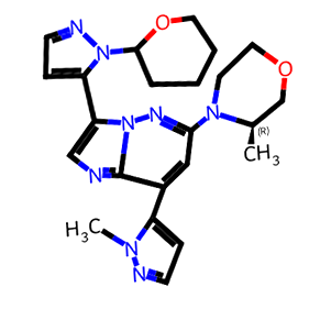 C[C@@H]1COCCN1c1cc(-c2ccnn2C)c2ncc(-c3ccnn3C3CCCCO3)n2n1